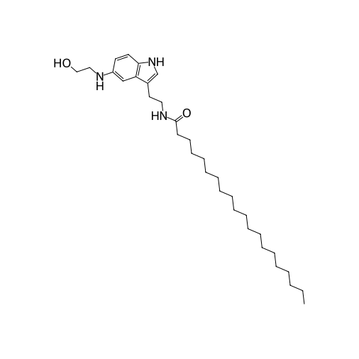 CCCCCCCCCCCCCCCCCCCC(=O)NCCc1c[nH]c2ccc(NCCO)cc12